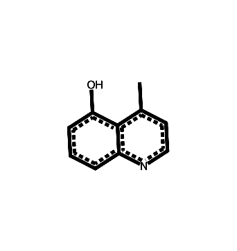 Cc1ccnc2cccc(O)c12